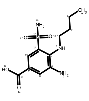 CCCCNc1c(N)cc(C(=O)O)cc1S(N)(=O)=O